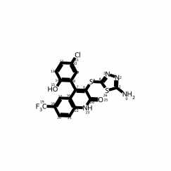 Nc1nnc(Sc2c(-c3cc(Cl)ccc3O)c3cc(C(F)(F)F)ccc3[nH]c2=O)s1